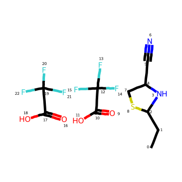 CCC1NC(C#N)CS1.O=C(O)C(F)(F)F.O=C(O)C(F)(F)F